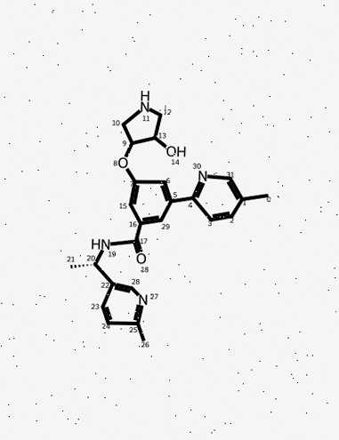 Cc1ccc(-c2cc(OC3CNCC3O)cc(C(=O)N[C@@H](C)c3ccc(C)nc3)c2)nc1